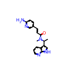 CC(c1c[nH]c2ncccc12)N(C)C(=O)C=Cc1ccc(N)nc1